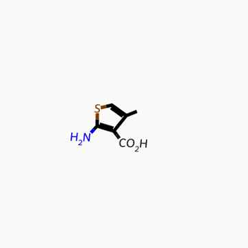 Cc1csc(N)c1C(=O)O